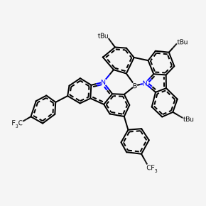 CC(C)(C)c1cc2c3c(c1)-n1c4ccc(-c5ccc(C(F)(F)F)cc5)cc4c4cc(-c5ccc(C(F)(F)F)cc5)cc(c41)B3n1c3ccc(C(C)(C)C)cc3c3cc(C(C)(C)C)cc-2c31